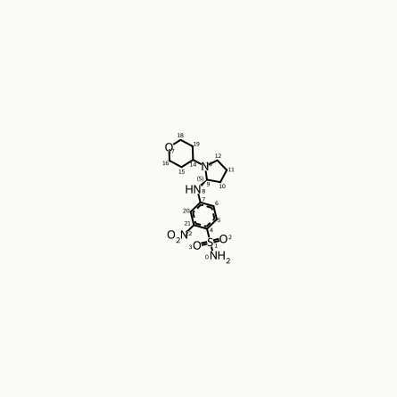 NS(=O)(=O)c1ccc(N[C@@H]2CCCN2C2CCOCC2)cc1[N+](=O)[O-]